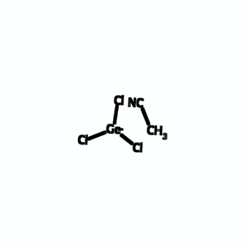 CC#N.[Cl][Ge]([Cl])[Cl]